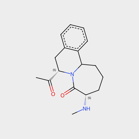 CN[C@H]1CCCC2c3ccccc3C[C@@H](C(C)=O)N2C1=O